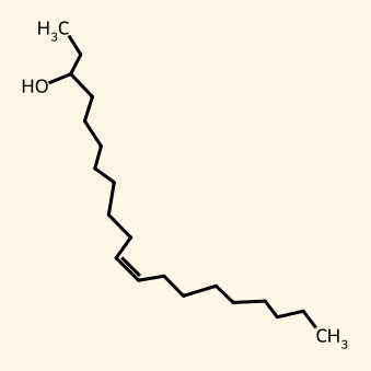 CCCCCCCC/C=C\CCCCCCCC(O)CC